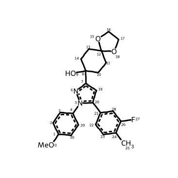 COc1ccc(-n2nc(C3(O)CCC4(CC3)OCCO4)cc2-c2ccc(C)c(F)c2)cc1